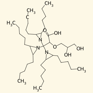 CCCCCC1C(CCCCC)N1C(C(OCC(O)CO)C(=O)O)(N1C(CCCCC)C1CCCCC)N1C(CCCCC)C1CCCCC